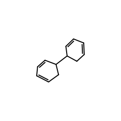 C1=CCC(C2C=CC=CC2)C=C1